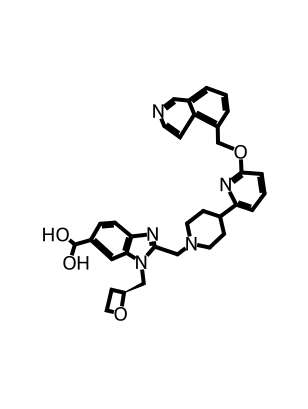 OC(O)c1ccc2nc(CN3CCC(c4cccc(OCc5cccc6cnccc56)n4)CC3)n(C[C@@H]3CCO3)c2c1